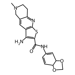 CN1CCc2nc3sc(C(=O)NC4=CC5OCOC5C=C4)c(N)c3cc2C1